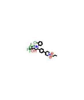 CCCS(=O)(=O)N1CC=C(c2ccc(C3CC(C(O)(C(F)(F)F)C(F)(F)F)=NN3c3ccccc3Cl)cc2)CC1